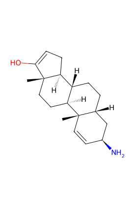 C[C@]12C=C[C@H](N)C[C@H]1CC[C@@H]1[C@@H]2CC[C@]2(C)C(O)=CC[C@@H]12